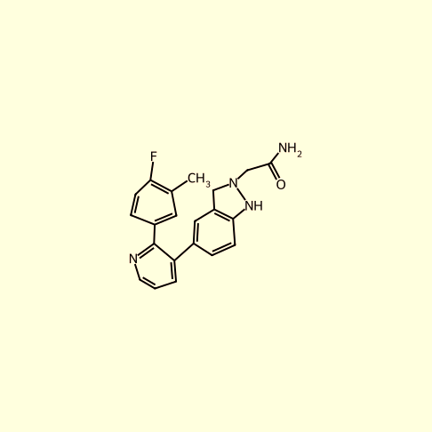 Cc1cc(-c2ncccc2-c2ccc3c(c2)CN(CC(N)=O)N3)ccc1F